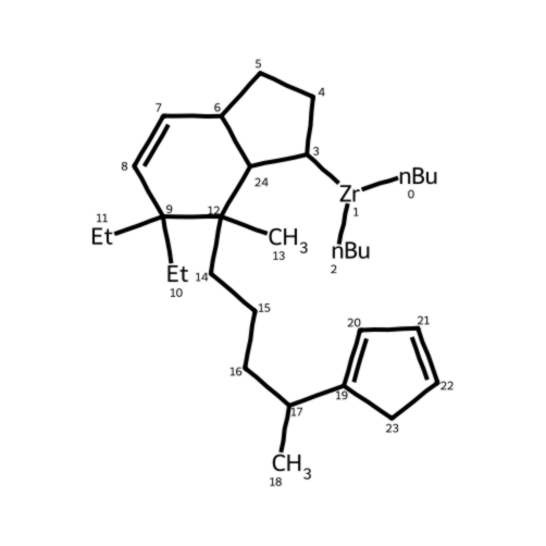 CCC[CH2][Zr]([CH2]CCC)[CH]1CCC2C=CC(CC)(CC)C(C)(CCCC(C)C3=CC=CC3)C21